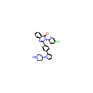 O=c1c2ccccc2nc(-c2ccc(-c3cccn3C3CCNCC3)cc2)n1-c1ccc(Cl)cn1